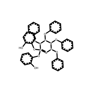 Oc1ccccc1OP1(Oc2ccccc2O)=NP(Oc2ccccc2)N(Oc2ccccc2)P(Oc2ccccc2)N1Oc1ccccc1